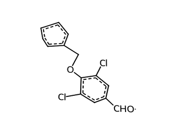 O=[C]c1cc(Cl)c(OCc2ccccc2)c(Cl)c1